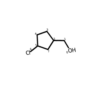 OCC1CCC(Cl)C1